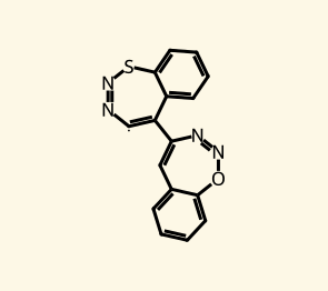 [C]1=C(C2=Cc3ccccc3ON=N2)c2ccccc2SN=N1